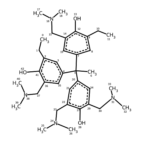 CCc1cc(C(C)(c2cc(CC)c(O)c(CN(C)C)c2)c2cc(CN(C)C)c(O)c(CN(C)C)c2)cc(CN(C)C)c1O